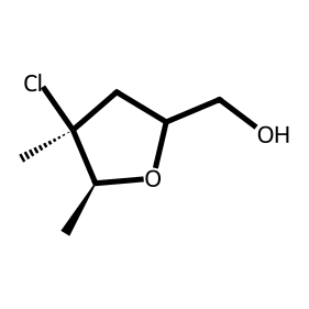 C[C@@H]1OC(CO)C[C@]1(C)Cl